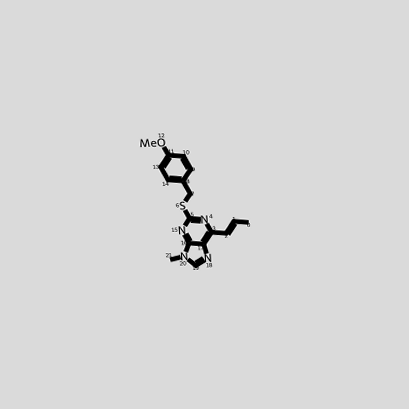 C/C=C/c1nc(SCc2ccc(OC)cc2)nc2c1ncn2C